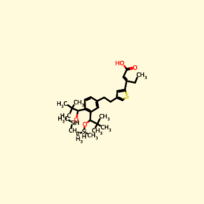 CCC(=CC(=O)O)c1cc(CCc2ccc(C(O[SiH](C)C)C(C)(C)C)c(C(O[SiH](C)C)C(C)(C)C)c2)cs1